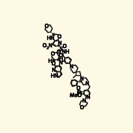 COc1cc(CN2CCN(C3CC4(CCN(c5ccc(C(=O)NS(=O)(=O)c6cc([N+](=O)[O-])c7c(n6)OC[C@@H](C6CCOCC6)N7)c(N6c7cc8cc[nH]c8nc7O[C@H]7COCC[C@@H]76)c5)CC4)C3C)[C@@H](c3ccccc3OC(C)C)C2)cnc1N1CCOCC1